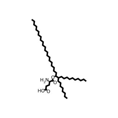 CCCCCCCCCCCCCCCCCCCCCCC(OC(=O)[C@@H](N)CCC(=O)O)C(CCCCCCCC)CCCCCCCCCC